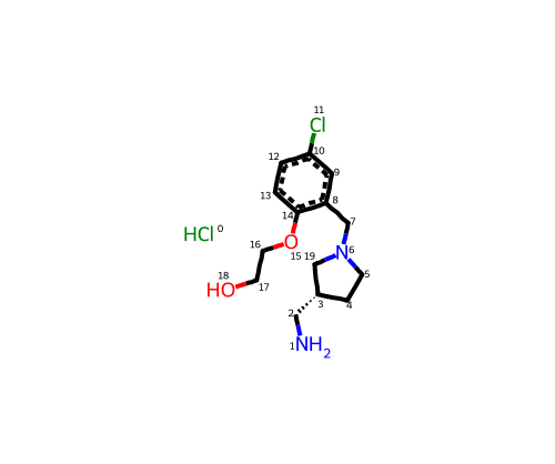 Cl.NC[C@H]1CCN(Cc2cc(Cl)ccc2OCCO)C1